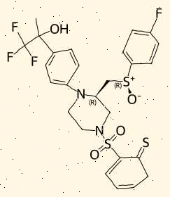 CC(O)(c1ccc(N2CCN(S(=O)(=O)C3=CC=CCC3=S)C[C@@H]2C[S@+]([O-])c2ccc(F)cc2)cc1)C(F)(F)F